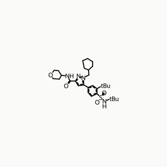 CC(C)(C)NS(=O)(=O)c1ccc(-c2cc(C(=O)NC3CCOCC3)nn2CC2CCCCC2)cc1C(C)(C)C